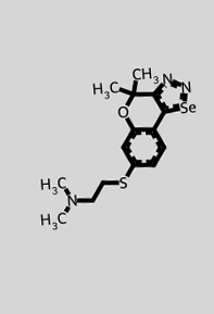 CN(C)CCSc1ccc2c(c1)OC(C)(C)c1nn[se]c1-2